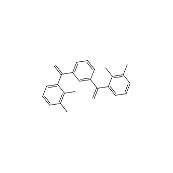 C=C(c1cccc(C(=C)c2cccc(C)c2C)c1)c1cccc(C)c1C